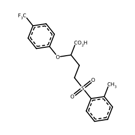 Cc1ccccc1S(=O)(=O)CCC(Oc1ccc(C(F)(F)F)cc1)C(=O)O